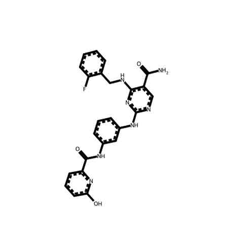 NC(=O)c1cnc(Nc2cccc(NC(=O)c3cccc(O)n3)c2)nc1NCc1ccccc1F